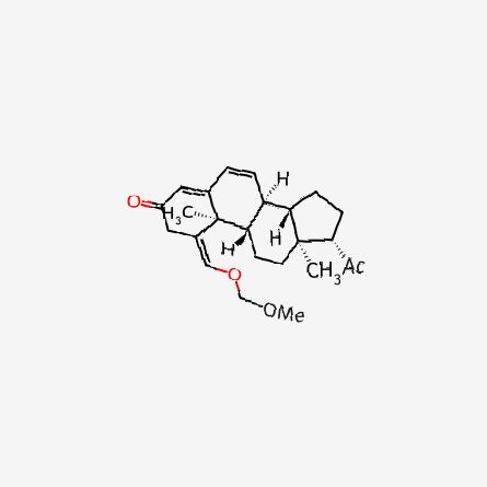 COCO/C=C1/CC(=O)C=C2C=C[C@H]3[C@@H]4CC[C@H](C(C)=O)[C@@]4(C)CC[C@@H]3[C@]21C